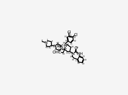 CN1CCC(N2CCN(C3(CC=O)CC(N4CCc5ccccc5NC4=O)CC[N@+]3(Cc3ccc(Cl)c(Cl)c3)C(=O)[O-])CC2)CC1